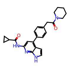 O=C(Nc1cc(-c2ccc(CC(=O)N3CCCCC3)cc2)c2cc[nH]c2n1)C1CC1